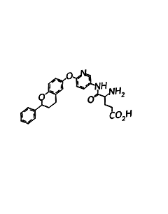 NC(CCC(=O)O)C(=O)Nc1ccc(Oc2ccc3c(c2)CCC(c2ccccc2)O3)nc1